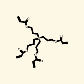 C=CC(=O)OCCC[Si](CCCOC(=O)C=C)(CCCOC(=O)C=C)CCCOC(=O)C=C